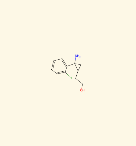 NC1(c2ccccc2Cl)CC1CCO